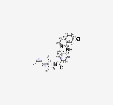 C/C=C\C=C(/CC)C(C)CNC(=O)C(/C=C\C(Nc1nccc2ccc(Cl)cc12)=C(C)C)=C/C